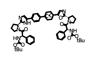 CC(C)(C)OC(=O)N[C@@H](C(=O)N1CCC[C@H]1c1ncc(-c2ccc(C34CCC(c5cnc([C@@H]6CCCN6C(=O)[C@H](NC(=O)OC(C)(C)C)c6ccccc6)o5)(CC3)CC4)cc2)[nH]1)c1ccccc1